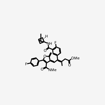 C=c1oc(-c2ccc(F)cc2)c(C(=O)NC)/c1=C/C(=C(\C)CC(=O)OC)c1ccc(F)c(C(=O)NC23CC(C2)[C@H]3C)c1